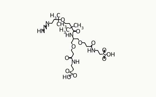 CC(C)(CCN=[N+]=N)OCCC(C)(C)C(=O)NC(COCCC(=O)NCCS(=O)(=O)O)COCCC(=O)NCCS(=O)(=O)O